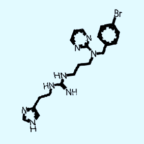 N=C(NCCCN(Cc1ccc(Br)cc1)c1ncccn1)NCCc1c[nH]cn1